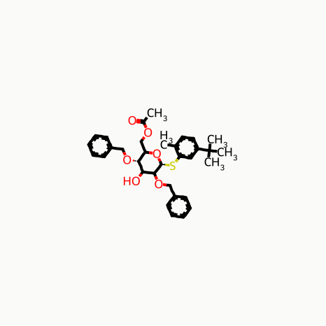 CC(=O)OCC1O[C@@H](Sc2cc(C(C)(C)C)ccc2C)C(OCc2ccccc2)C(O)[C@@H]1OCc1ccccc1